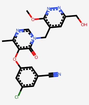 COc1nnc(CO)cc1Cn1cnc(C)c(Oc2cc(Cl)cc(C#N)c2)c1=O